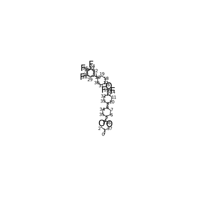 CC1COC(C2CCC(C3CCC(C(F)(F)OC4CCC(c5cc(F)c(F)c(F)c5)CC4)CC3)CC2)OC1